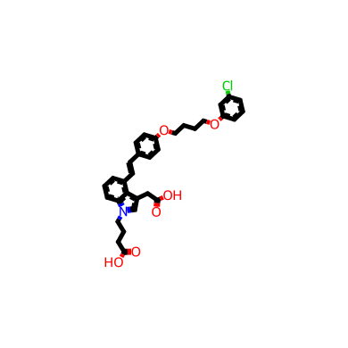 O=C(O)CCCn1cc(CC(=O)O)c2c(C=Cc3ccc(OCCCCOc4cccc(Cl)c4)cc3)cccc21